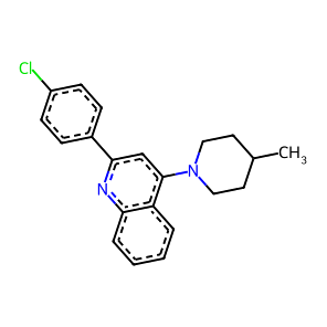 CC1CCN(c2cc(-c3ccc(Cl)cc3)nc3ccccc23)CC1